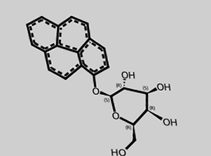 OC[C@H]1O[C@@H](Oc2ccc3ccc4cccc5ccc2c3c45)[C@H](O)[C@@H](O)[C@H]1O